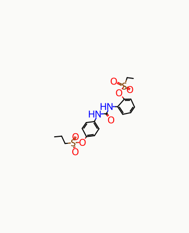 CCCS(=O)(=O)Oc1ccc(NC(=O)Nc2ccccc2OS(=O)(=O)CC)cc1